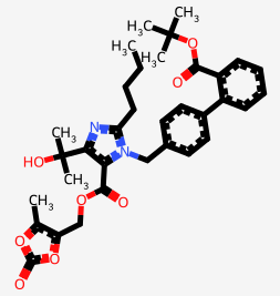 CCCCc1nc(C(C)(C)O)c(C(=O)OCc2oc(=O)oc2C)n1Cc1ccc(-c2ccccc2C(=O)OC(C)(C)C)cc1